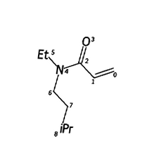 C=CC(=O)N(CC)CCC(C)C